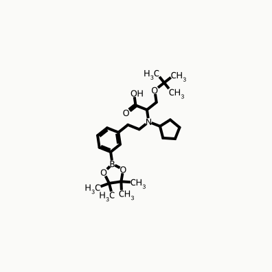 CC(C)(C)OCC(C(=O)O)N(CCc1cccc(B2OC(C)(C)C(C)(C)O2)c1)C1CCCC1